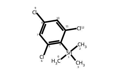 [CH3][Sn]([CH3])([CH3])[c]1c(Cl)cc(Cl)cc1Cl